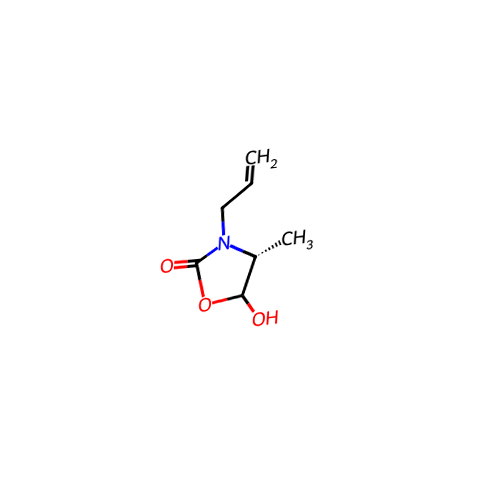 C=CCN1C(=O)OC(O)[C@H]1C